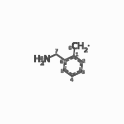 [CH2]c1ccccc1CN